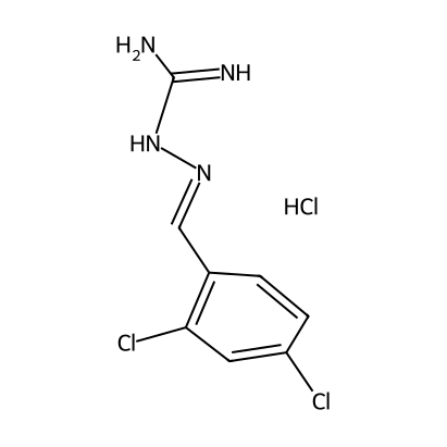 Cl.N=C(N)NN=Cc1ccc(Cl)cc1Cl